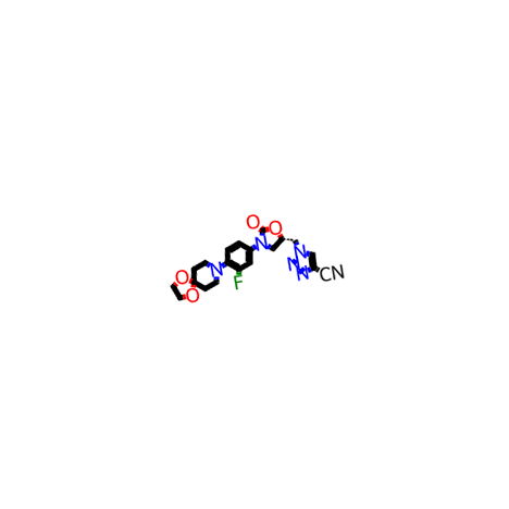 N#Cc1cn(C[C@@H]2CN(c3ccc(N4CCC5(CC4)OCCO5)c(F)c3)C(=O)O2)nn1